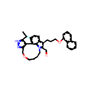 CCc1[nH]nc2c1-c1c(F)ccc3c(CCCOc4cccc5ccccc45)c(C=O)n(c13)CCCCOC2